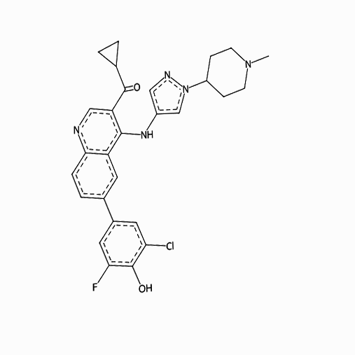 CN1CCC(n2cc(Nc3c(C(=O)C4CC4)cnc4ccc(-c5cc(F)c(O)c(Cl)c5)cc34)cn2)CC1